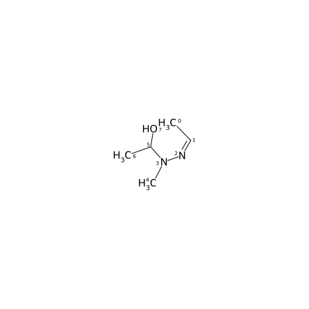 C/C=N\N(C)C(C)O